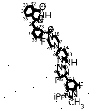 Cc1nc2c(F)cc(-c3nc(Nc4ccc(N5CCN(C(=O)c6cc(Cc7n[nH]c(=O)c8ccccc78)ccc6F)CC5)cn4)ncc3F)cc2n1C(C)C